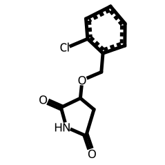 O=C1CC(OCc2ccccc2Cl)C(=O)N1